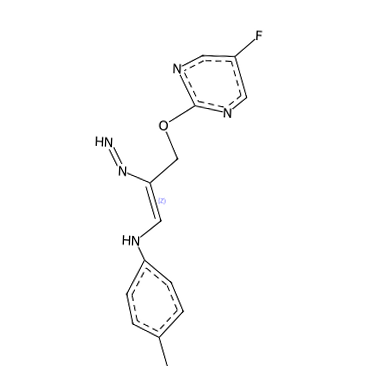 Cc1ccc(N/C=C(/COc2ncc(F)cn2)N=N)cc1